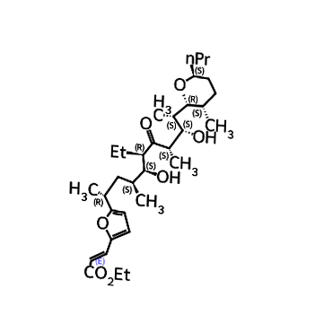 CCC[C@H]1CC[C@H](C)[C@H]([C@@H](C)[C@H](O)[C@H](C)C(=O)[C@H](CC)[C@@H](O)[C@@H](C)C[C@@H](C)c2ccc(/C=C/C(=O)OCC)o2)O1